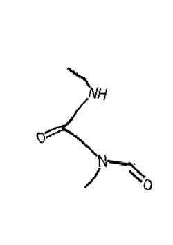 CNC(=O)N(C)[C]=O